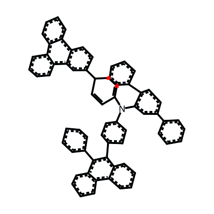 C1=CC(c2ccc3c4ccccc4c4ccccc4c3c2)CC=C1N(c1ccc(-c2c(-c3ccccc3)c3ccccc3c3ccccc23)cc1)c1cc(-c2ccccc2)ccc1-c1ccccc1